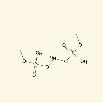 COP(=O)(O)ONOP(=O)(O)OC